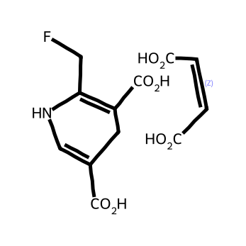 O=C(O)/C=C\C(=O)O.O=C(O)C1=CNC(CF)=C(C(=O)O)C1